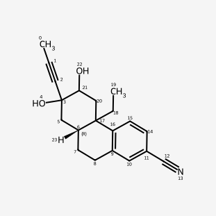 CC#CC1(O)C[C@H]2CCc3cc(C#N)ccc3C2(CC)CC1O